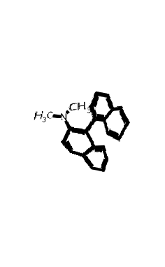 CN(C)c1ccc2ccccc2c1-c1[c]ccc2ccccc12